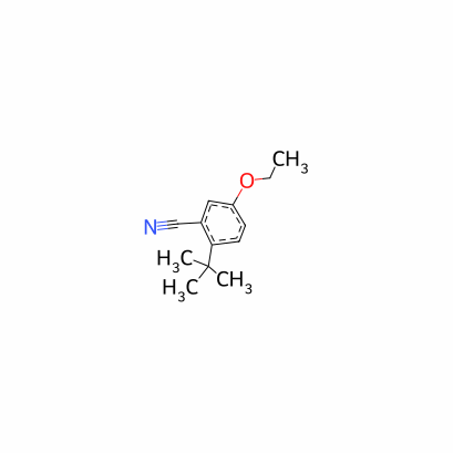 CCOc1ccc(C(C)(C)C)c(C#N)c1